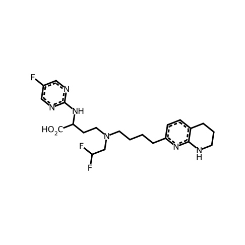 O=C(O)C(CCN(CCCCc1ccc2c(n1)NCCC2)CC(F)F)Nc1ncc(F)cn1